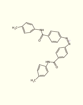 Cc1ccc(NC(=O)c2ccc(/N=N\c3ccc(C(=O)Nc4ccc(C)cc4)cc3)cc2)cc1